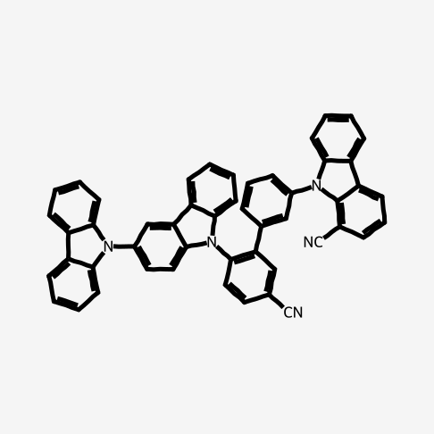 N#Cc1ccc(-n2c3ccccc3c3cc(-n4c5ccccc5c5ccccc54)ccc32)c(-c2cccc(-n3c4ccccc4c4cccc(C#N)c43)c2)c1